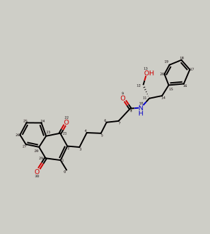 CC1=C(CCCCCC(=O)N[C@H](CO)Cc2ccccc2)C(=O)c2ccccc2C1=O